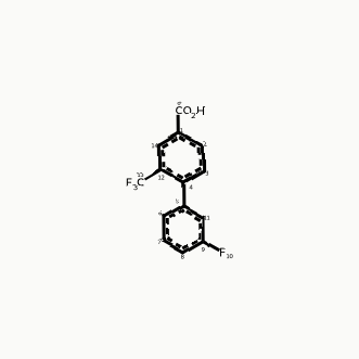 O=C(O)c1ccc(-c2cccc(F)c2)c(C(F)(F)F)c1